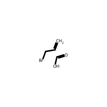 C=CCBr.O=CO